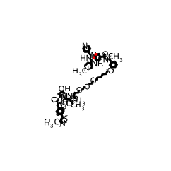 Cc1ncsc1-c1ccc(CNC(=O)[C@@H]2C[C@@H](O)CN2C(=O)[C@@H](NC(=O)CCOCCOCCOCCCCCCOc2cccc([C@@H](C)NC(=O)c3cccc(NC4(c5nnc(-c6ccncc6)[nH]5)CCN(C)CC4)c3)c2)C(C)(C)C)cc1